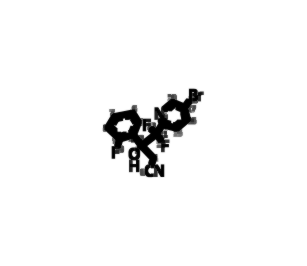 N#CCC(O)(c1ccccc1F)C(F)(F)c1ccc(Br)cn1